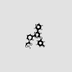 CCC(=O)N1CCCC(c2nc(Oc3cccc(F)c3)cc(-c3cccnc3)n2)C1